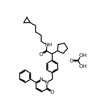 O=C(NCCCCC1CC1)C(c1ccc(Cn2nc(-c3ccccc3)ccc2=O)cc1)C1CCCC1.O=C(O)O